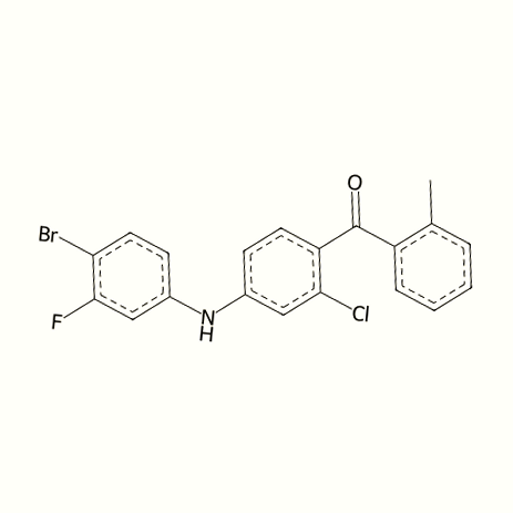 Cc1ccccc1C(=O)c1ccc(Nc2ccc(Br)c(F)c2)cc1Cl